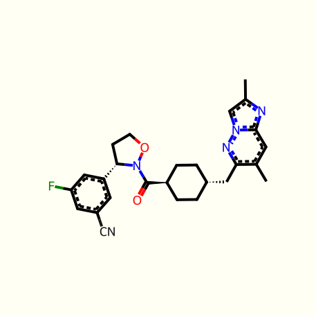 Cc1cn2nc(C[C@H]3CC[C@H](C(=O)N4OCC[C@H]4c4cc(F)cc(C#N)c4)CC3)c(C)cc2n1